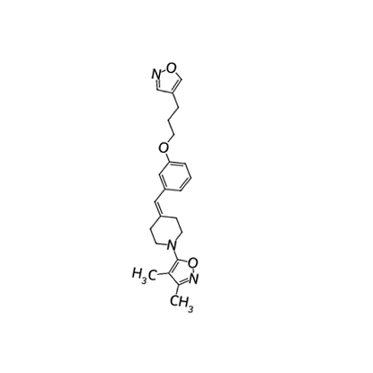 Cc1noc(N2CCC(=Cc3cccc(OCCCc4cnoc4)c3)CC2)c1C